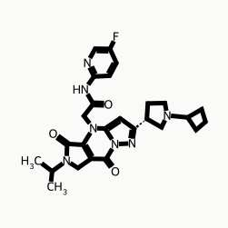 CC(C)N1Cc2c(n(CC(=O)Nc3ccc(F)cn3)c3cc([C@@H]4CCN(C5CCC5)C4)nn3c2=O)C1=O